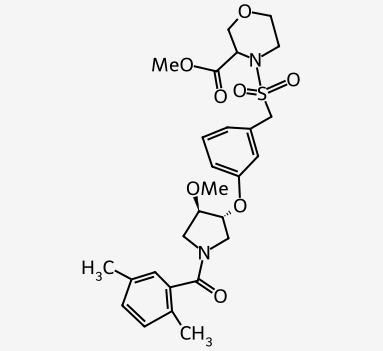 COC(=O)C1COCCN1S(=O)(=O)Cc1cccc(O[C@@H]2CN(C(=O)c3cc(C)ccc3C)C[C@H]2OC)c1